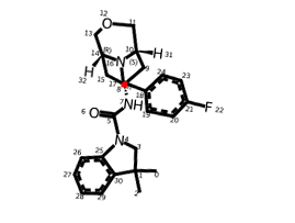 CC1(C)CN(C(=O)N[C@H]2C[C@H]3COC[C@@H](C2)N3Cc2ccc(F)cc2)c2ccccc21